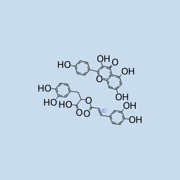 O=C(/C=C/c1ccc(O)c(O)c1)OC(Cc1ccc(O)c(O)c1)C(=O)O.O=c1c(O)c(-c2ccc(O)cc2)oc2cc(O)cc(O)c12